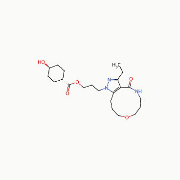 CCc1nn(CCCOC(=O)[C@H]2CC[C@H](O)CC2)c2c1C(=O)NCCCOCCC2